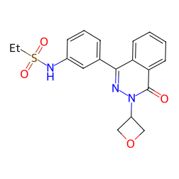 CCS(=O)(=O)Nc1cccc(-c2nn(C3COC3)c(=O)c3ccccc23)c1